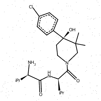 CC(C)[C@@H](N)C(=O)N[C@@H](C(=O)N1CC[C@](O)(c2ccc(Cl)cc2)C(C)(C)C1)C(C)C